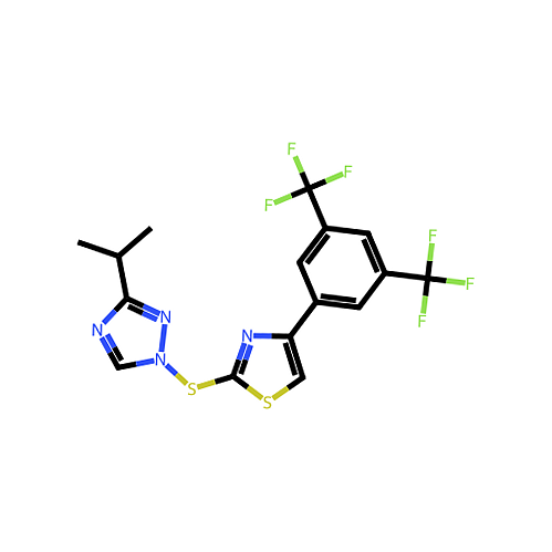 CC(C)c1ncn(Sc2nc(-c3cc(C(F)(F)F)cc(C(F)(F)F)c3)cs2)n1